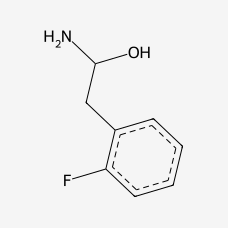 NC(O)Cc1ccccc1F